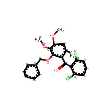 COc1cc(C)c(C(=O)c2c(Cl)cccc2Cl)c(OCc2ccccc2)c1OC